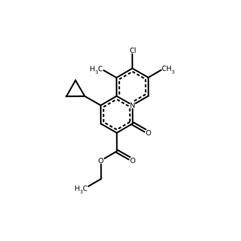 CCOC(=O)c1cc(C2CC2)c2c(C)c(Cl)c(C)cn2c1=O